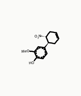 COc1cc([C@@H]2CC=CC[C@H]2[N+](=O)[O-])ccc1O